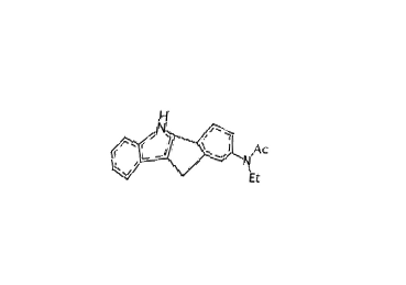 CCN(C(C)=O)c1ccc2c(c1)Cc1c-2[nH]c2ccccc12